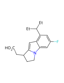 CCC(CC)c1cc(F)cc2c1cc1n2CCC1CC(=O)O